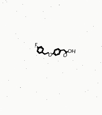 O=C(O)Cc1ccc(OCCc2ccc(F)cc2)cc1